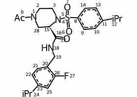 CC(=O)N1CCN(S(=O)(=O)c2ccc(C(C)C)cc2)[C@@H](C(=O)NCc2ccc(C(C)C)cc2F)C1